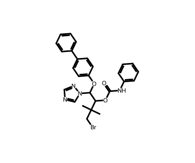 CC(C)(CBr)C(OC(=O)Nc1ccccc1)C(Oc1ccc(-c2ccccc2)cc1)n1cncn1